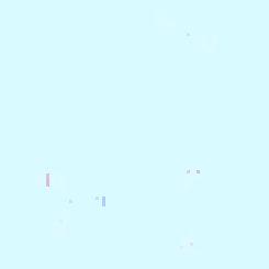 C[C@H]1CN(C(=O)c2ccco2)c2cc(-c3ccc(S(C)(=O)=O)cc3)ccc2N1C(=O)O